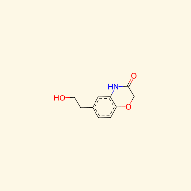 O=C1COc2ccc(CCO)cc2N1